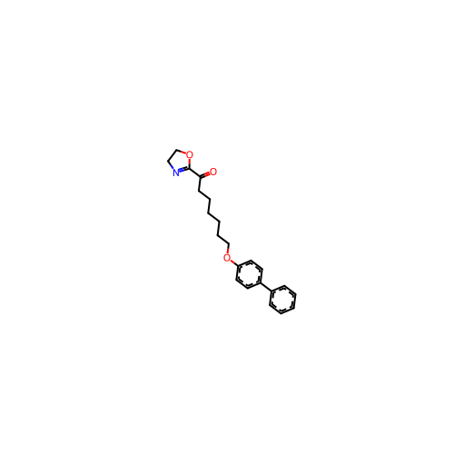 O=C(CCCCCCOc1ccc(-c2ccccc2)cc1)C1=NCCO1